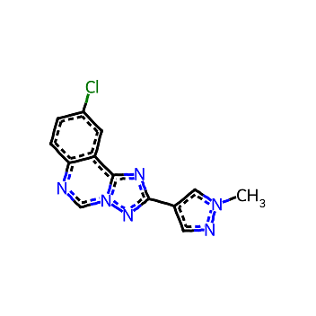 Cn1cc(-c2nc3c4cc(Cl)ccc4ncn3n2)cn1